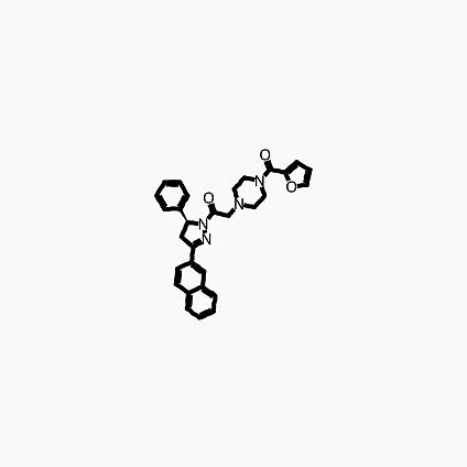 O=C(c1ccco1)N1CCN(CC(=O)N2N=C(c3ccc4ccccc4c3)C[C@H]2c2ccccc2)CC1